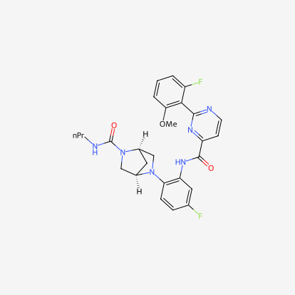 CCCNC(=O)N1C[C@H]2C[C@@H]1CN2c1ccc(F)cc1NC(=O)c1ccnc(-c2c(F)cccc2OC)n1